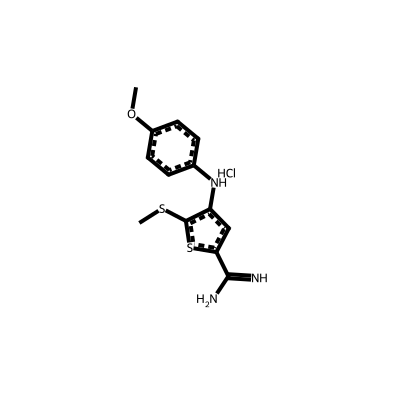 COc1ccc(Nc2cc(C(=N)N)sc2SC)cc1.Cl